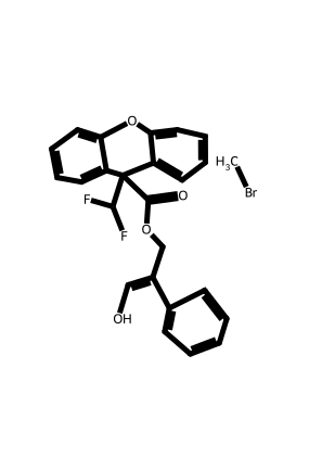 CBr.O=C(OCC(=CO)c1ccccc1)C1(C(F)F)c2ccccc2Oc2ccccc21